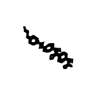 CCCCc1ccc(N=Nc2ccc(NC(=O)c3ccc(NC(C)=O)cc3)cc2)cc1